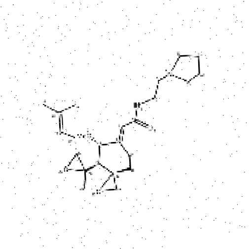 CO[C@@H]1C(=CC(=O)NCCN2CCCC2)CC[C@]2(CO2)[C@H]1C1(C)O[C@@H]1CC=C(C)C